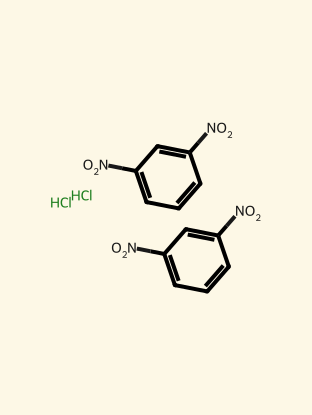 Cl.Cl.O=[N+]([O-])c1cccc([N+](=O)[O-])c1.O=[N+]([O-])c1cccc([N+](=O)[O-])c1